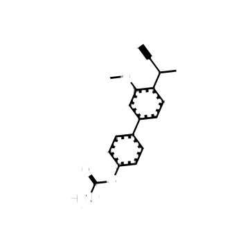 C#CC(C)c1ccc(-c2ccc(OC(N)=O)cc2)cc1OC